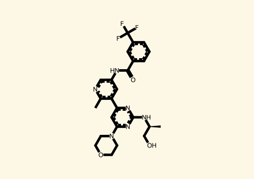 Cc1ncc(NC(=O)c2cccc(C(F)(F)F)c2)cc1-c1cc(N2CCOCC2)nc(N[C@@H](C)CO)n1